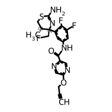 C#CCOc1cnc(C(=O)Nc2cc(F)c(F)c([C@@]3(CF)N=C(N)SC[C@H]3C)c2)cn1